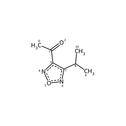 CC(=O)c1nonc1C(C)C